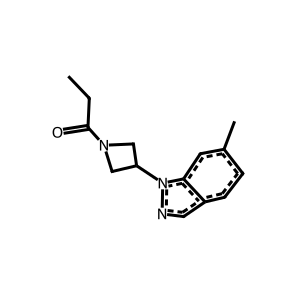 CCC(=O)N1CC(n2ncc3ccc(C)cc32)C1